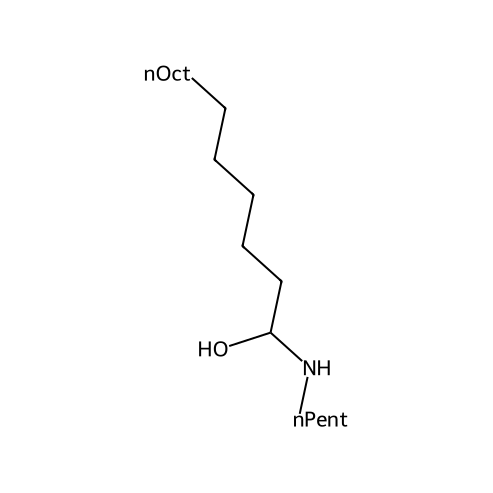 CCCCCCCCCCCCCC(O)NCCCCC